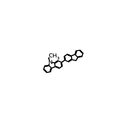 CCn1c2ccccc2c2ccc(-c3ccc4c(c3)Cc3ccccc3-4)cc21